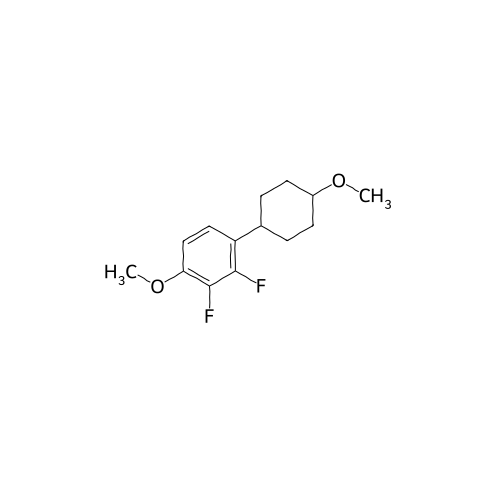 COc1ccc(C2CCC(OC)CC2)c(F)c1F